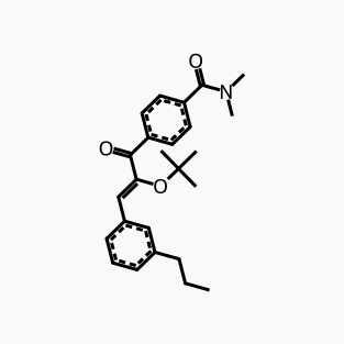 CCCc1cccc(C=C(OC(C)(C)C)C(=O)c2ccc(C(=O)N(C)C)cc2)c1